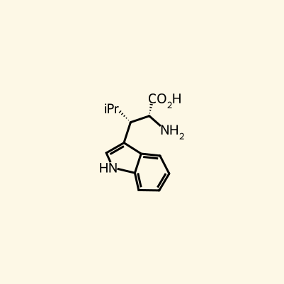 CC(C)[C@@H](c1c[nH]c2ccccc12)[C@@H](N)C(=O)O